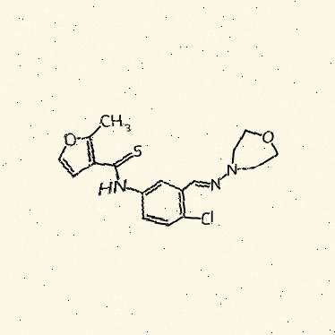 Cc1occc1C(=S)Nc1ccc(Cl)c(C=NN2CCOCC2)c1